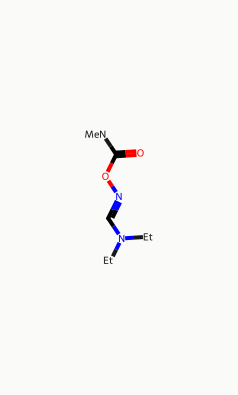 CCN(C=NOC(=O)NC)CC